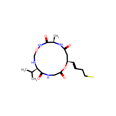 CC(C)[C@H]1NCONC(=O)[C@@H](C)NC(=O)C[C@@H](/C=C/CCS)OC(=O)CNC1=O